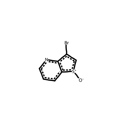 [O-][s+]1cc(Br)c2ncccc21